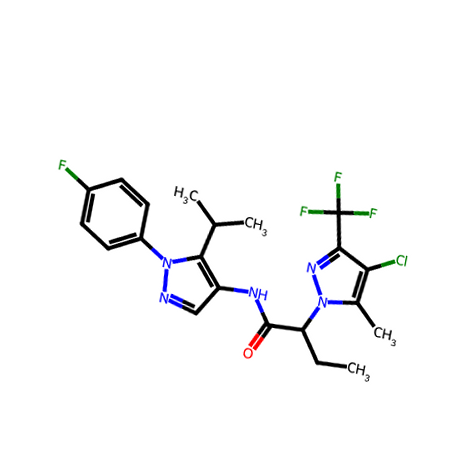 CCC(C(=O)Nc1cnn(-c2ccc(F)cc2)c1C(C)C)n1nc(C(F)(F)F)c(Cl)c1C